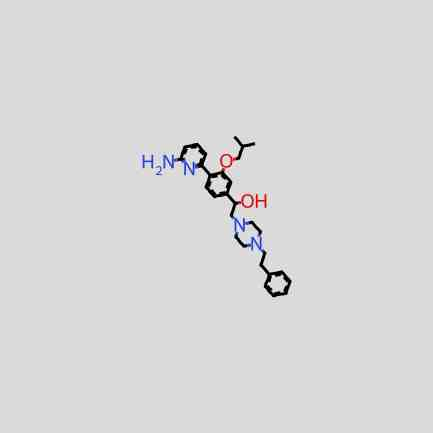 CC(C)COc1cc(C(O)CN2CCN(CCc3ccccc3)CC2)ccc1-c1cccc(N)n1